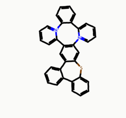 c1ccc2c(c1)sc1cc3c(cc1c1ccccc21)c1cccc[n+]1c1ccccc1c1cccc[n+]13